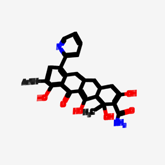 CC(=O)Nc1cc(-c2ccccn2)c2c(c1O)C(=O)C1=C(O)C3C(CC(O)=C(C(N)=O)C3(C)O)CC1C2